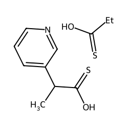 CC(C(O)=S)c1cccnc1.CCC(O)=S